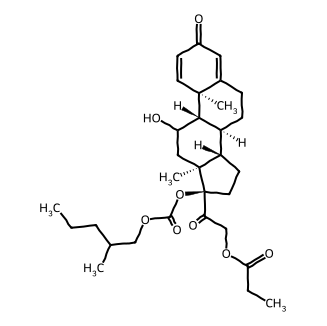 CCCC(C)COC(=O)O[C@]1(C(=O)COC(=O)CC)CC[C@H]2[C@@H]3CCC4=CC(=O)C=C[C@]4(C)[C@H]3C(O)C[C@@]21C